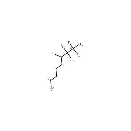 CC(=O)SCCCC(F)C(F)(F)C(F)(F)C(F)(F)F